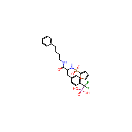 O=C(NCCCCc1ccccc1)C(Cc1ccc(C(F)(F)P(=O)(O)O)cc1)NS(=O)(=O)c1cccs1